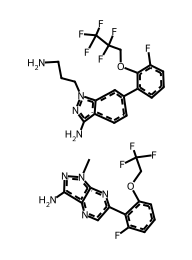 Cn1nc(N)c2ncc(-c3c(F)cccc3OCC(F)(F)F)nc21.NCCCn1nc(N)c2ccc(-c3cccc(F)c3OCC(F)(F)C(F)(F)F)cc21